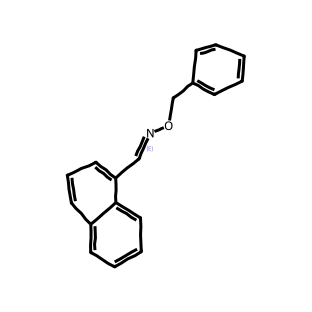 C(=N\OCc1ccccc1)/c1cccc2ccccc12